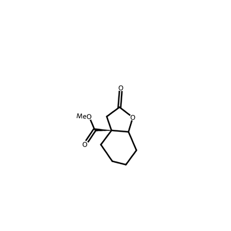 COC(=O)[C@]12CCCCC1OC(=O)C2